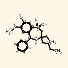 CCCCC1(CC)CS(=O)(=O)c2cc(O)c(SC)cc2C(c2ccccc2)N1